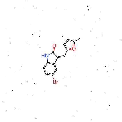 Cc1ccc(/C=C2\C(=O)Nc3ccc(Br)cc32)o1